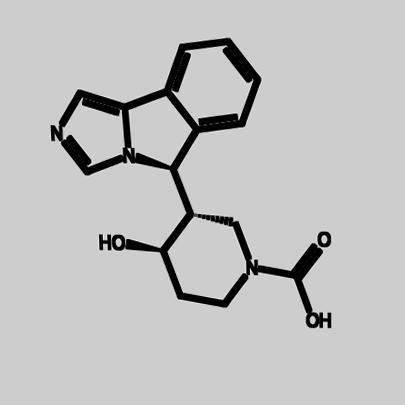 O=C(O)N1CC[C@@H](O)[C@H]([C@@H]2c3ccccc3-c3cncn32)C1